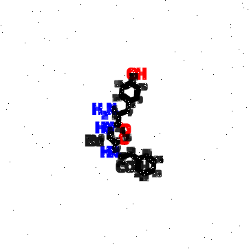 CC[C@H](C)[C@H](NC(=O)[C@@H](N)Cc1ccc(O)cc1)C(=O)N[C@@H](Cc1ccccc1)C(=O)O